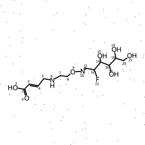 O=C(O)/C=C/CNCCO/N=C/C(F)C(O)C(O)C(O)CO